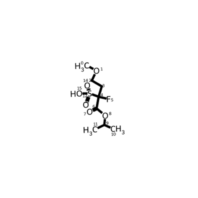 COCCC(F)(C(=O)OC(C)C)S(=O)(=O)O